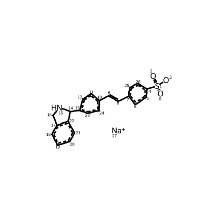 O=S(=O)([O-])c1ccc(C=Cc2ccc(C3NCc4ccccc43)cc2)cc1.[Na+]